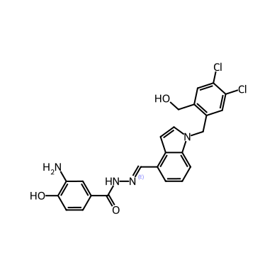 Nc1cc(C(=O)N/N=C/c2cccc3c2ccn3Cc2cc(Cl)c(Cl)cc2CO)ccc1O